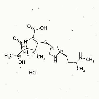 CNC(C)CC[C@@H]1C[C@H](SC2=C(C(=O)O)N3C(=O)[C@H]([C@@H](C)O)[C@H]3[C@H]2C)CN1.Cl